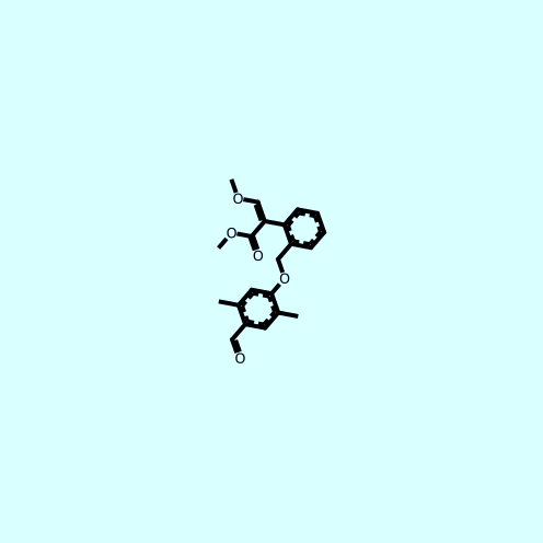 COC=C(C(=O)OC)c1ccccc1COc1cc(C)c(C=O)cc1C